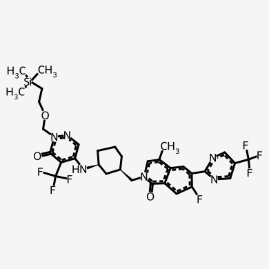 Cc1cn(C[C@@H]2CCC[C@H](Nc3cnn(COCC[Si](C)(C)C)c(=O)c3C(F)(F)F)C2)c(=O)c2cc(F)c(-c3ncc(C(F)(F)F)cn3)cc12